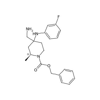 C[C@H]1CC(CN)(Nc2cccc(F)c2)CCN1C(=O)OCc1ccccc1